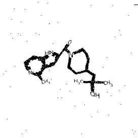 Cc1nccc2[nH]c(C(=O)N3CCC(CC(C)(C)O)CC3)cc12